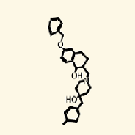 Cc1ccc(CC2(O)CCN(CC3CCc4cc(OCc5ccccc5)ccc4C3O)CC2)cc1